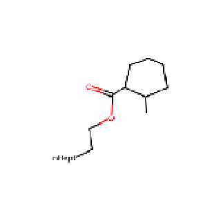 CCCCCCCCCOC(=O)C1CCCCC1C